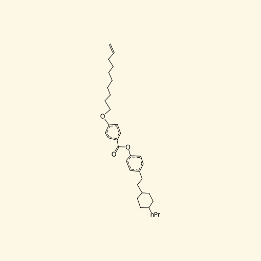 C=CCCCCCCCCOc1ccc(C(=O)Oc2ccc(CCC3CCC(CCC)CC3)cc2)cc1